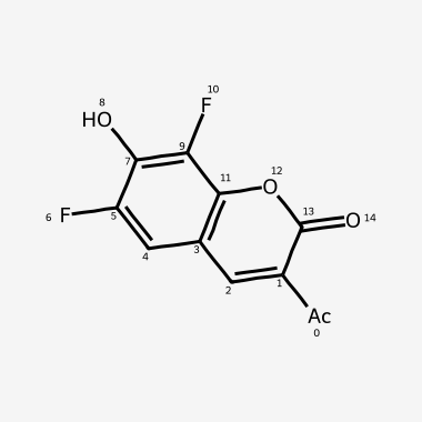 CC(=O)c1cc2cc(F)c(O)c(F)c2oc1=O